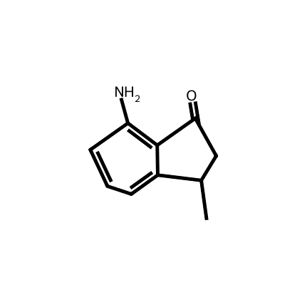 CC1CC(=O)c2c(N)cccc21